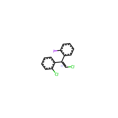 Cl/C=C(/c1ccccc1Cl)c1ccccc1I